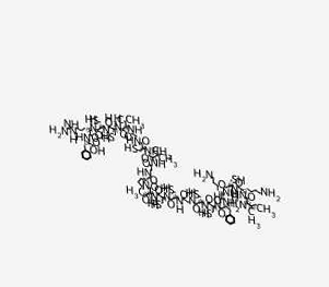 CC[C@H](C)[C@H](N)C(=O)N[C@@H](CCCCN)C(=O)N[C@@H](CS)C(=O)N[C@@H](CCCCN)C(=O)N[C@@H](Cc1ccccc1)C(=O)N[C@@H](CS)C(=O)N[C@@H](CS)C(=O)NCC(=O)N[C@@H](CS)C(=O)N[C@@H](CS)C(=O)N[C@H](C(=O)N1CCC[C@H]1C(=O)NCC(=O)N[C@H](C(=O)N[C@@H](CS)C(=O)NCC(=O)N[C@H](C(=O)N[C@@H](CS)C(=O)N[C@@H](CS)C(=O)N[C@@H](CCCNC(=N)N)C(=O)N[C@@H](Cc1ccccc1)C(=O)O)C(C)C)C(C)C)[C@@H](C)O